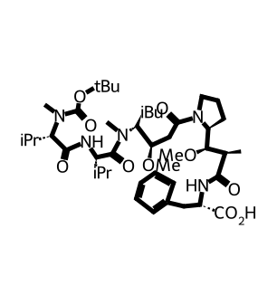 CC[C@H](C)[C@H]([C@@H](CC(=O)N1CCC[C@H]1[C@H](OC)[C@@H](C)C(=O)N[C@@H](Cc1ccccc1)C(=O)O)OC)N(C)C(=O)[C@@H](NC(=O)[C@H](C(C)C)N(C)C(=O)OC(C)(C)C)C(C)C